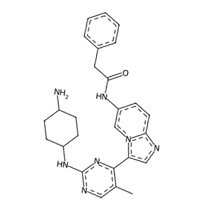 Cc1cnc(NC2CCC(N)CC2)nc1-c1cnc2ccc(NC(=O)Cc3ccccc3)cn12